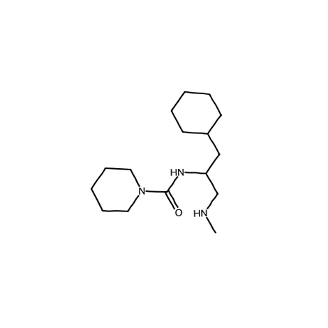 CNCC(CC1CCCCC1)NC(=O)N1CCCCC1